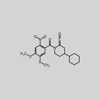 COc1cc(C(=O)N2CCC(C3CCCCC3)CC2=C=O)c([N+](=O)[O-])cc1OC